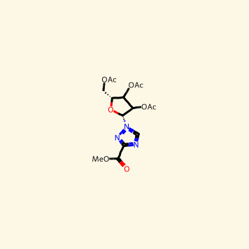 COC(=O)c1ncn([C@@H]2O[C@H](COC(C)=O)C(OC(C)=O)C2OC(C)=O)n1